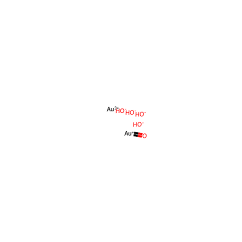 [Au+3].[OH-].[OH-].[OH-].[OH-].[O]=[Au+]